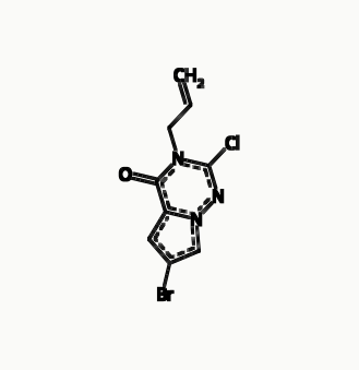 C=CCn1c(Cl)nn2cc(Br)cc2c1=O